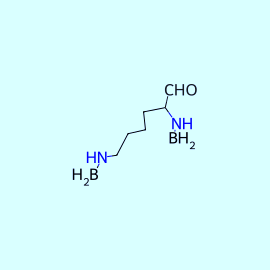 BNCCCCC(C=O)NB